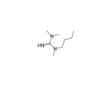 CCCC[N+](C)C(=N)N(C)C